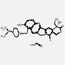 CC[C@@]1(O)C(=O)OCc2c1cc1n(c2=O)Cc2cc3c(CN4CCC(N(C)C)CC4)c(O)ccc3nc2-1.O=CO